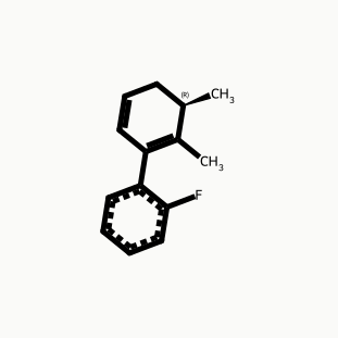 CC1=C(c2ccccc2F)C=CC[C@H]1C